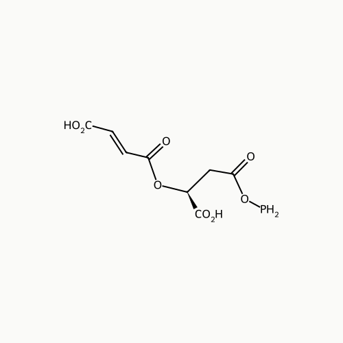 O=C(O)/C=C/C(=O)O[C@@H](CC(=O)OP)C(=O)O